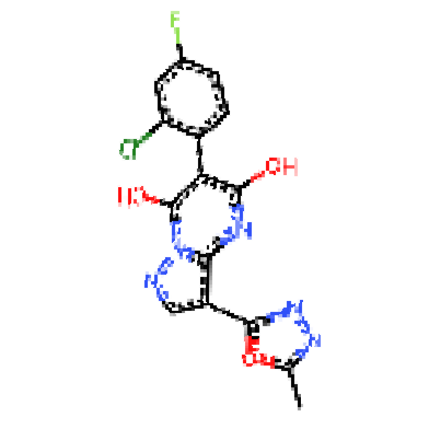 Cc1nnc(-c2cnn3c(O)c(-c4ccc(F)cc4Cl)c(O)nc23)o1